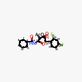 CC(=O)Oc1c(NC(=O)c2ccccc2)oc(-c2ccc(F)cc2F)c1O